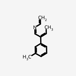 C=C/N=C\C(=C/C)c1cccc(C)c1